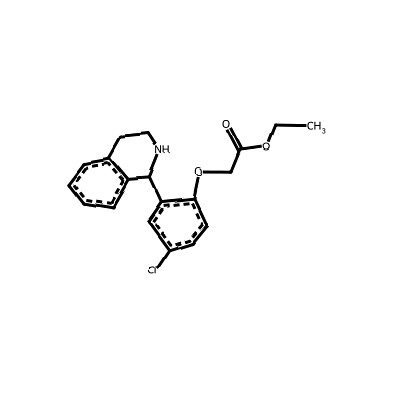 CCOC(=O)COc1ccc(Cl)cc1C1NCCc2ccccc21